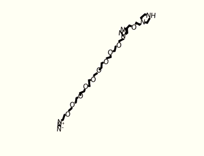 [N-]=[N+]=NCCOCCOCCOCCOCCOCCOCCOCCOCCOCCn1cc(COCCN2CCNCC2)nn1